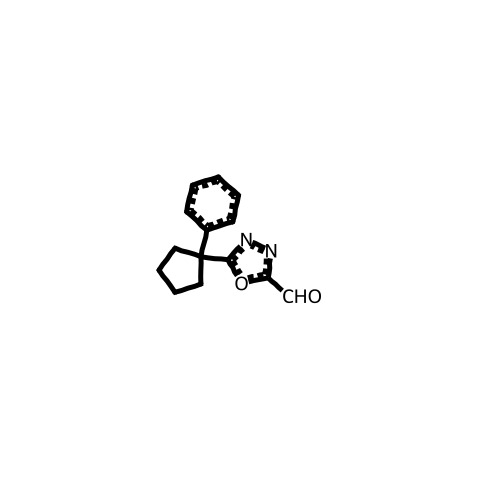 O=Cc1nnc(C2(c3ccccc3)CCCC2)o1